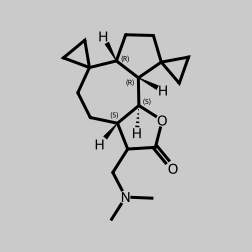 CN(C)CC1C(=O)O[C@@H]2[C@@H]3[C@@H](CCC34CC4)C3(CC[C@@H]12)CC3